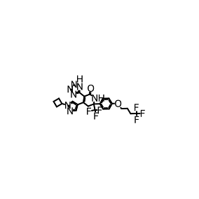 O=C1NC(c2ccc(OCCCC(F)(F)F)cc2)(C(F)(F)F)CC(c2cnn(C3CCC3)c2)=C1c1nnn[nH]1